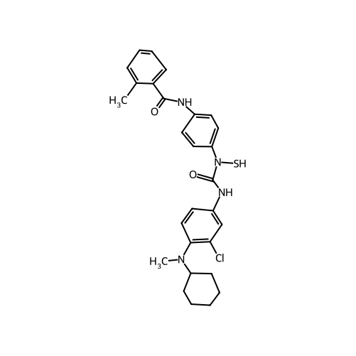 Cc1ccccc1C(=O)Nc1ccc(N(S)C(=O)Nc2ccc(N(C)C3CCCCC3)c(Cl)c2)cc1